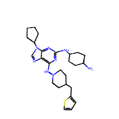 NC1CCC(Nc2nc(NN3CCC(Cc4cccs4)CC3)c3ncn(C4CCCC4)c3n2)CC1